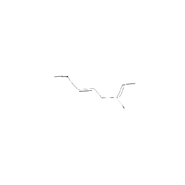 [CH2]C=C(C)CC=CCCCCC